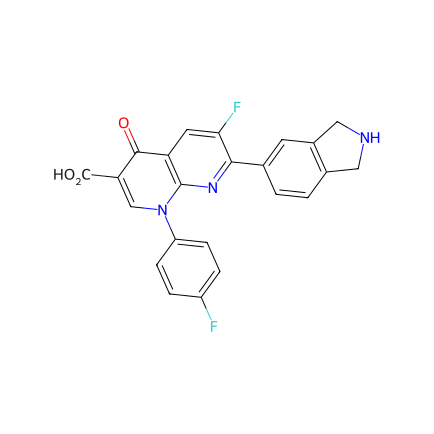 O=C(O)c1cn(-c2ccc(F)cc2)c2nc(-c3ccc4c(c3)CNC4)c(F)cc2c1=O